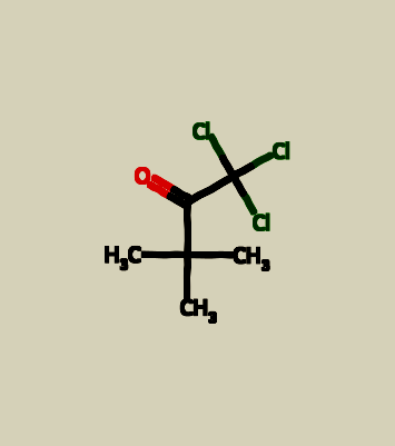 CC(C)(C)C(=O)C(Cl)(Cl)Cl